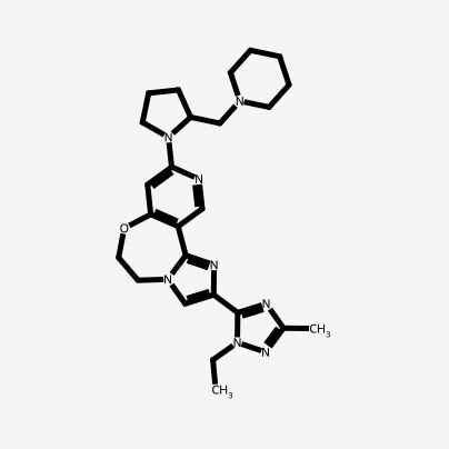 CCn1nc(C)nc1-c1cn2c(n1)-c1cnc(N3CCCC3CN3CCCCC3)cc1OCC2